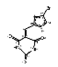 O=C1NC(=S)NC(=O)C1=Cc1cc(Br)cs1